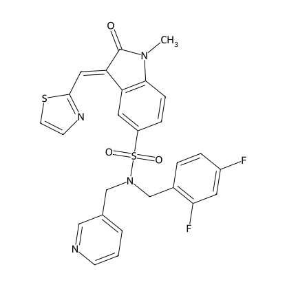 CN1C(=O)/C(=C/c2nccs2)c2cc(S(=O)(=O)N(Cc3cccnc3)Cc3ccc(F)cc3F)ccc21